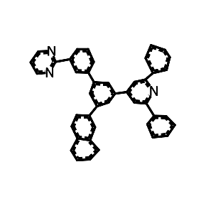 c1ccc(-c2cc(-c3cc(-c4cccc(-c5ncccn5)c4)cc(-c4ccc5ccccc5c4)c3)cc(-c3ccccc3)n2)cc1